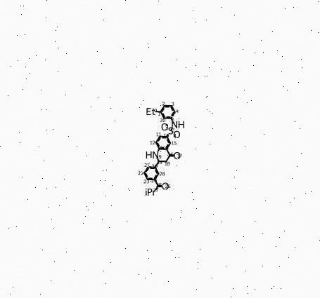 CCc1cccc(NS(=O)(=O)c2ccc3c(c2)C(=O)CC(c2cccc(C(=O)C(C)C)c2)N3)c1